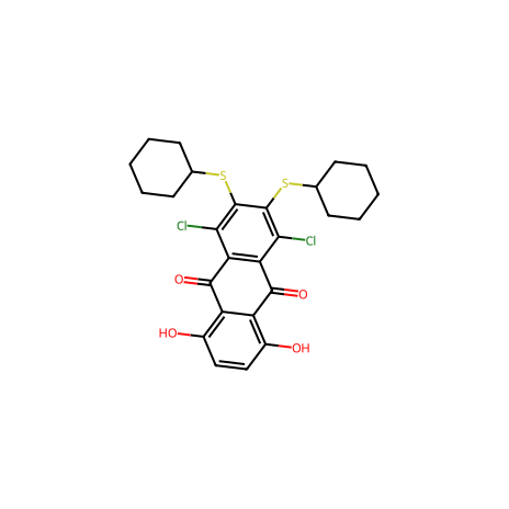 O=C1c2c(O)ccc(O)c2C(=O)c2c(Cl)c(SC3CCCCC3)c(SC3CCCCC3)c(Cl)c21